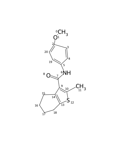 COc1ccc(NC(=O)c2c(C)sc3c2CCCC3)cc1